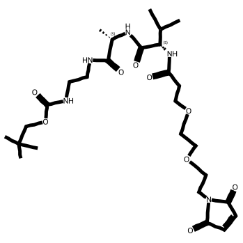 CC(C)[C@H](NC(=O)CCOCCOCCN1C(=O)C=CC1=O)C(=O)N[C@@H](C)C(=O)NCCNC(=O)OCC(C)(C)C